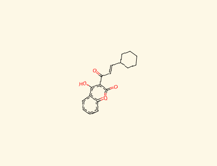 O=C(/C=C/C1CCCCC1)c1c(O)c2ccccc2oc1=O